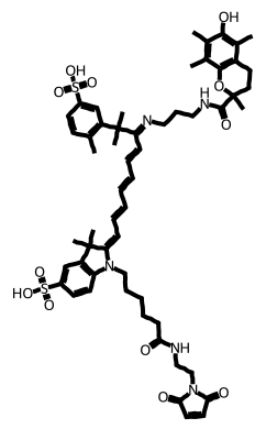 Cc1ccc(S(=O)(=O)O)cc1C(C)(C)C(/C=C/C=C/C=C/C=C1/N(CCCCCC(=O)NCCN2C(=O)C=CC2=O)c2ccc(S(=O)(=O)O)cc2C1(C)C)=N/CCCNC(=O)C1(C)CCc2c(C)c(O)c(C)c(C)c2O1